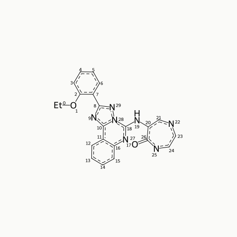 CCOc1ccccc1-c1nc2c3ccccc3nc(Nc3cnccnc3=O)n2n1